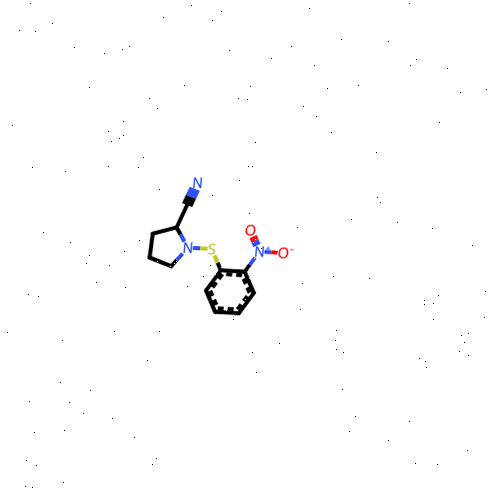 N#CC1CCCN1Sc1ccccc1[N+](=O)[O-]